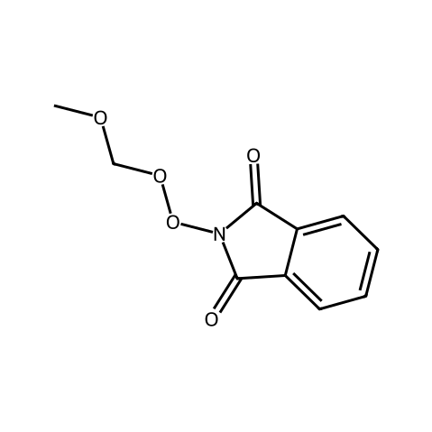 COCOON1C(=O)c2ccccc2C1=O